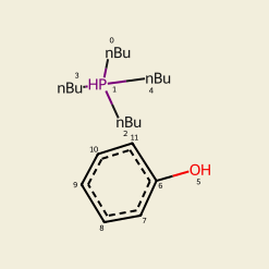 CCCC[PH](CCCC)(CCCC)CCCC.Oc1ccccc1